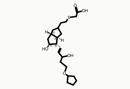 O=C(O)CSCCC1C[C@H]2C[C@H](O)[C@@H](C=CC(O)CCOC3CCCC3)[C@@H]2C1